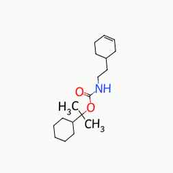 CC(C)(OC(=O)NCCC1CC=CCC1)C1CCCCC1